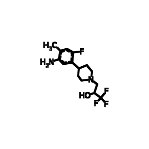 Cc1cc(F)c(C2CCN(CC(O)C(F)(F)F)CC2)cc1N